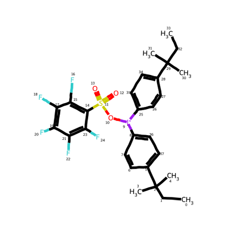 CCC(C)(C)c1ccc([I+](OS(=O)(=O)c2c(F)c(F)c(F)c(F)c2F)c2ccc(C(C)(C)CC)cc2)cc1